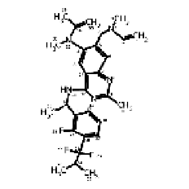 C=CN(C)Cc1cc2nc(C)nc(N[C@H](C)c3cccc(C(F)(F)C(C)C)c3F)c2cc1N(C)C(=C)C